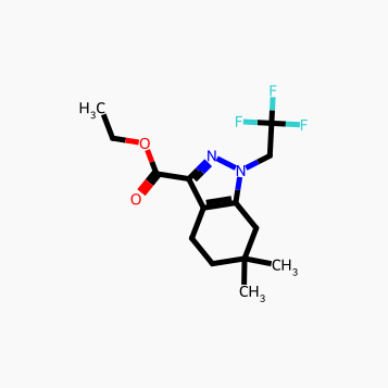 CCOC(=O)c1nn(CC(F)(F)F)c2c1CCC(C)(C)C2